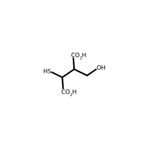 O=C(O)C(S)C(CO)C(=O)O